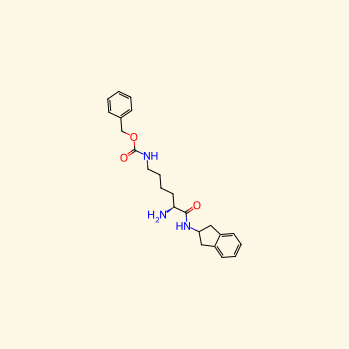 N[C@@H](CCCCNC(=O)OCc1ccccc1)C(=O)NC1Cc2ccccc2C1